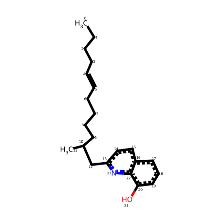 CCCCC=CCCCCC(C)Cc1ccc2cccc(O)c2n1